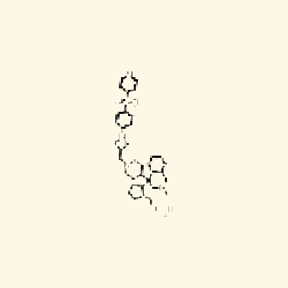 CN1Cc2ccccc2C(C2CCN(CC3CN(c4ccc(S(=O)(=O)c5ccncc5)cc4)C3)CC2)(C2CCCC2CC(=O)O)C1